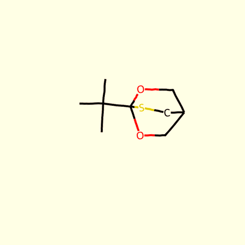 CC(C)(C)C12OCC(CO1)CS2